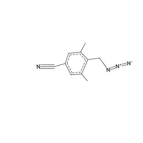 Cc1cc(C#N)cc(C)c1CN=[N+]=[N-]